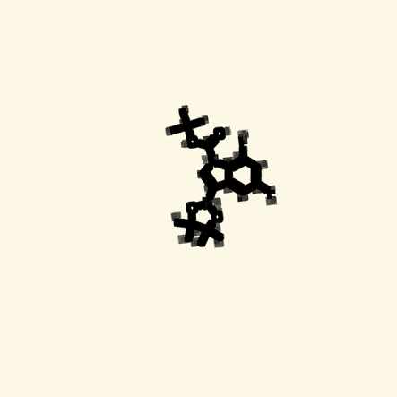 CC(C)(C)OC(=O)n1cc(B2OC(C)(C)C(C)(C)O2)c2cc(F)cc(F)c21